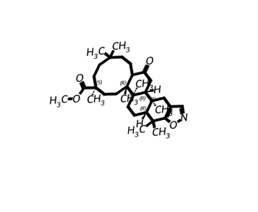 COC(=O)[C@@]1(C)CCC(C)(C)CCC2C(=O)C[C@@H]3[C@@]4(C)Cc5cnoc5C(C)(C)[C@@H]4CC[C@@]3(C)[C@]2(C)CC1